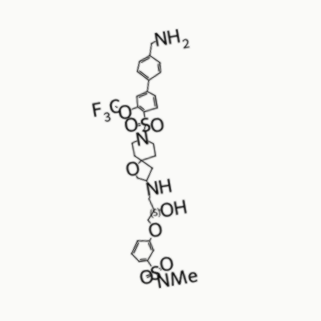 CNS(=O)(=O)c1cccc(OC[C@@H](O)CNC2COC3(CCN(S(=O)(=O)c4ccc(-c5ccc(CN)cc5)cc4OC(F)(F)F)CC3)C2)c1